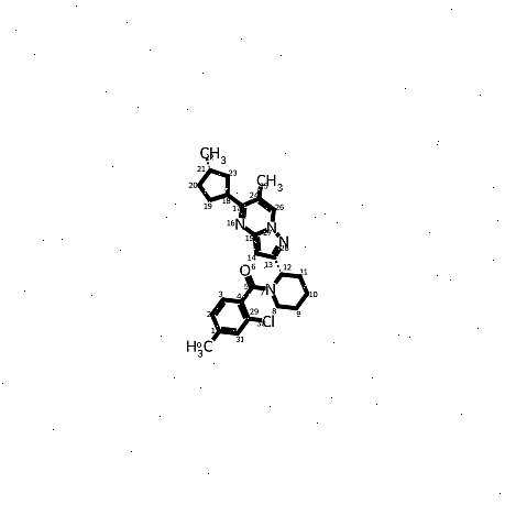 Cc1ccc(C(=O)N2CCCC[C@H]2c2cc3nc(C4CC[C@H](C)C4)c(C)cn3n2)c(Cl)c1